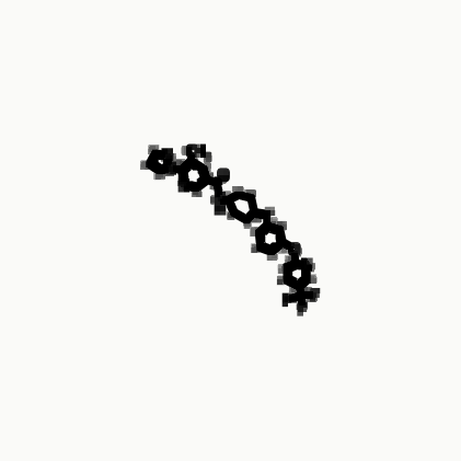 Cc1cc(C(=O)NC2CCC(=Cc3cccc(Oc4ccc(C(F)(F)F)cn4)c3)CC2)cnc1-n1cccn1